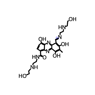 Cc1c(O)c(/C=N/CCNCCO)c2nc3c(O)ccc(C(=O)NCCNCCO)c3nc2c1O